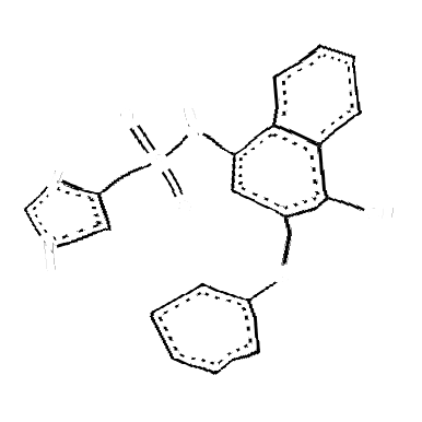 O=S(=O)(Nc1cc(Sc2ccccc2)c(O)c2ccccc12)c1c[nH]cn1